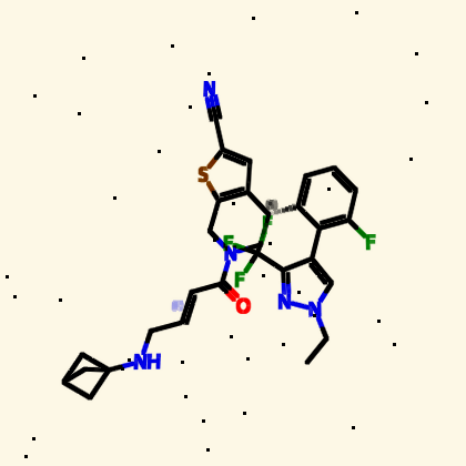 CCn1cc(-c2c(F)cccc2[C@@H]2CN(C(=O)/C=C/CNC34CC(C3)C4)Cc3sc(C#N)cc32)c(C(F)(F)F)n1